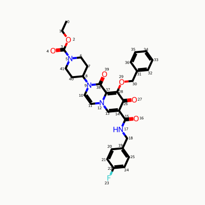 CCOC(=O)N1CCC(n2ccn3cc(C(=O)NCc4ccc(F)cc4)c(=O)c(OCc4ccccc4)c3c2=O)CC1